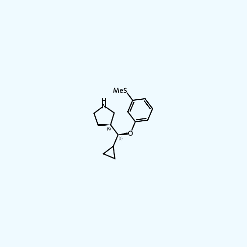 CSc1cccc(O[C@@H](C2CC2)[C@H]2CCNC2)c1